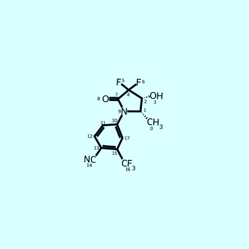 C[C@H]1[C@@H](O)C(F)(F)C(=O)N1c1ccc(C#N)c(C(F)(F)F)c1